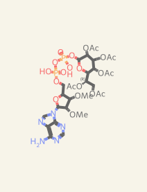 COC1C(COP(=O)(O)OP(=O)(O)OC2OC([C@@H](COC(C)=O)OC(C)=O)C(OC(C)=O)C(OC(C)=O)C2OC(C)=O)OC(n2cnc3c(N)ncnc32)C1OC